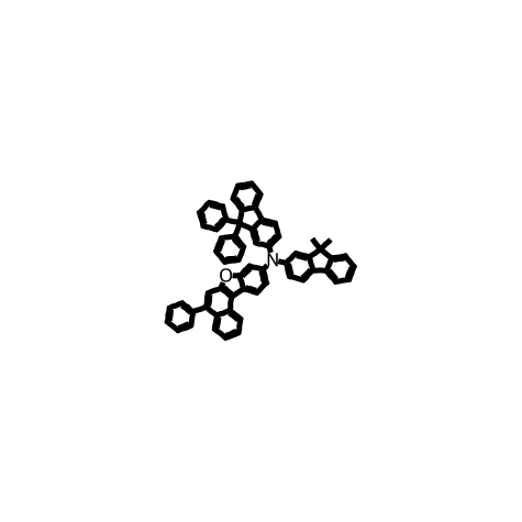 CC1(C)c2ccccc2-c2ccc(N(c3ccc4c(c3)C(c3ccccc3)(c3ccccc3)c3ccccc3-4)c3ccc4c(c3)oc3cc(-c5ccccc5)c5ccccc5c34)cc21